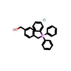 OCc1ccc(C[P+](c2ccccc2)(c2ccccc2)c2ccccc2)cc1.[Cl-]